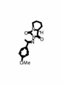 COc1ccc(/C(C)=N/N2C(=O)[C@@H]3CCCCN3C2=O)cc1